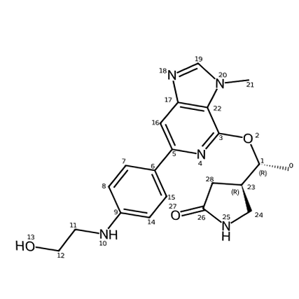 C[C@@H](Oc1nc(-c2ccc(NCCO)cc2)cc2ncn(C)c12)[C@H]1CNC(=O)C1